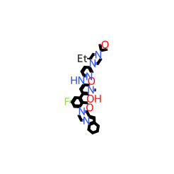 CC[C@H]1CN(C2COC2)CCN1c1ccc(Nc2cc(-c3cc(F)cc(N4CCn5c(cc6c5CCCC6)C4=O)c3CO)cn(C)c2=O)nc1